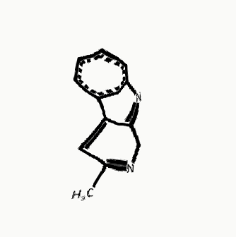 CC1=NCC2=Nc3ccccc3C2=C1